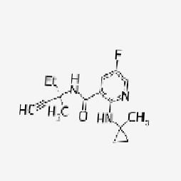 C#C[C@@](C)(CC)NC(=O)c1cc(F)cnc1NC1(C)CC1